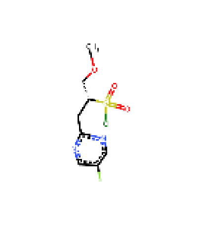 COC[C@@H](Cc1ncc(F)cn1)S(=O)(=O)Cl